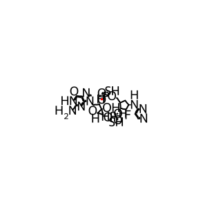 Nc1nc2c(ncn2[C@@H]2O[C@@H]3[C@@H]4OP(=O)(S)O[C@@H]5C(COP(=O)(S)O[C@@H]2[C@]34O)C[C@@H](Nc2ccncn2)[C@@H]5F)c(=O)[nH]1